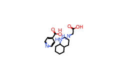 C1CCC2NCCCC2C1.NCC(=O)O.O=C(O)c1ccncc1